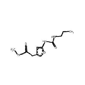 CCCNC(=O)Nc1cc(CC(=O)OC)co1